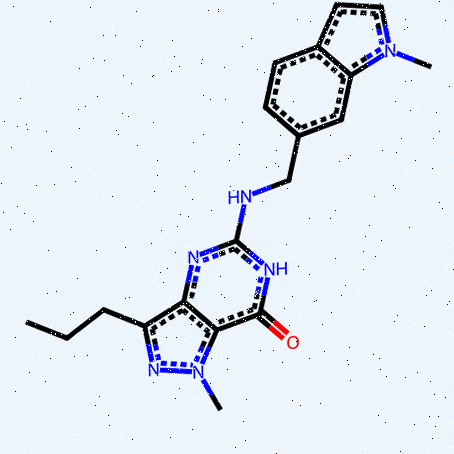 CCCc1nn(C)c2c(=O)[nH]c(NCc3ccc4ccn(C)c4c3)nc12